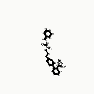 O=C(NCCCc1ccc(-c2ccccc2-c2nnn[nH]2)cc1)OCc1ccccc1